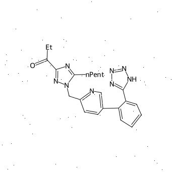 CCCCCc1nc(C(=O)CC)nn1Cc1ccc(-c2ccccc2-c2nnn[nH]2)cn1